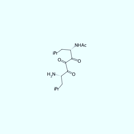 CC(=O)N[C@@H](CC(C)C)C(=O)C(=O)C(=O)[C@@H](N)CC(C)C